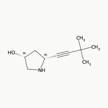 CC(C)(C)C#C[C@H]1C[C@@H](O)CN1